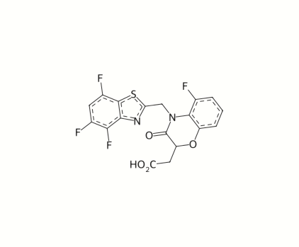 O=C(O)CC1Oc2cccc(F)c2N(Cc2nc3c(F)c(F)cc(F)c3s2)C1=O